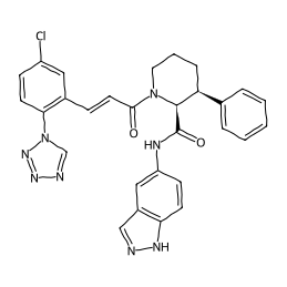 O=C(Nc1ccc2[nH]ncc2c1)[C@@H]1[C@H](c2ccccc2)CCCN1C(=O)C=Cc1cc(Cl)ccc1-n1cnnn1